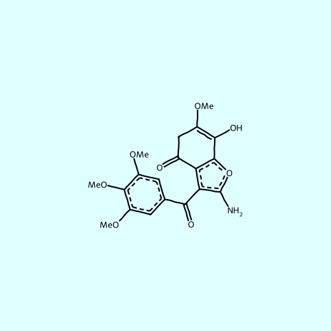 COC1=C(O)c2oc(N)c(C(=O)c3cc(OC)c(OC)c(OC)c3)c2C(=O)C1